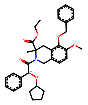 CCOC(=O)C1(C)Cc2c(ccc(OC)c2OCc2ccccc2)CN1C(=O)[C@@H](OC1CCCC1)c1ccccc1